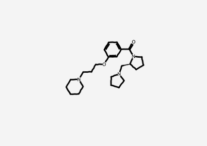 O=C(c1cccc(OCCCN2CCCCC2)c1)N1CCC[C@H]1CN1CCCC1